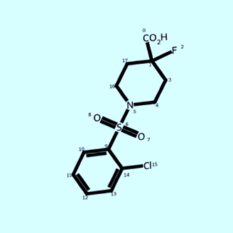 O=C(O)C1(F)CCN(S(=O)(=O)c2ccccc2Cl)CC1